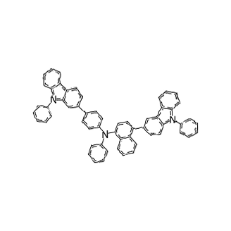 c1ccc(N(c2ccc(-c3ccc4c5ccccc5n(-c5ccccc5)c4c3)cc2)c2ccc(-c3ccc4c(c3)c3ccccc3n4-c3ccccc3)c3ccccc23)cc1